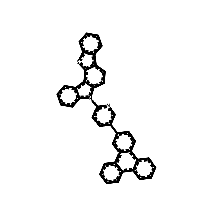 c1ccc2c(c1)sc1c2ccc2c1c1ccccc1n2-c1ccc(-c2ccc3c4ccccc4c4ccccc4c3c2)cn1